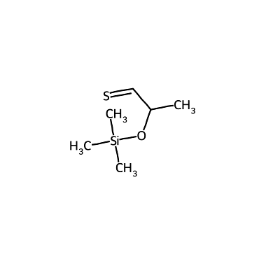 CC(C=S)O[Si](C)(C)C